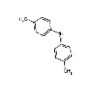 Cc1cc[c]([In][c]2ccc(C)cc2)cc1